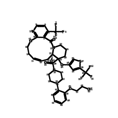 O=C1c2c(C(F)(F)F)ccnc2OCC/C=C\C[C@H]2N1CCCC2(Oc1csc(C(F)(F)F)c1)C(=O)N1CCN(c2ccccc2OCCO)CC1